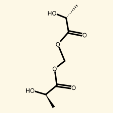 C[C@@H](O)C(=O)OCOC(=O)[C@@H](C)O